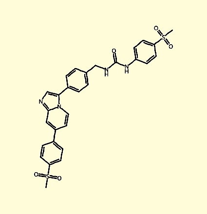 CS(=O)(=O)c1ccc(NC(=O)NCc2ccc(-c3cnc4cc(-c5ccc(S(C)(=O)=O)cc5)ccn34)cc2)cc1